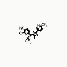 Cc1nc(-c2ccc(C(F)(F)F)nc2)sc1C(OCC(F)(F)F)c1ccc(C#N)c(Cl)n1